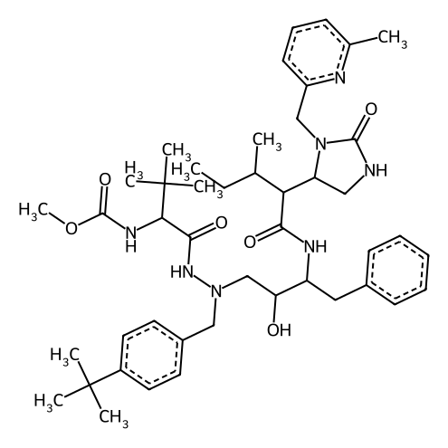 CCC(C)C(C(=O)NC(Cc1ccccc1)C(O)CN(Cc1ccc(C(C)(C)C)cc1)NC(=O)C(NC(=O)OC)C(C)(C)C)C1CNC(=O)N1Cc1cccc(C)n1